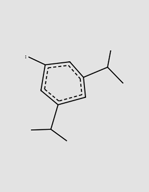 [CH]c1cc(C(C)C)cc(C(C)C)c1